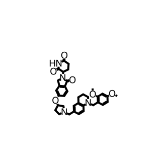 COc1ccc(CN2CCCc3cc(CN4CCC(Oc5ccc6c(c5)CN(C5CCC(=O)NC5=O)C6=O)C4)ccc32)c(OC)c1